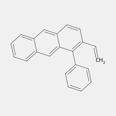 C=Cc1ccc2cc3ccccc3cc2c1-c1ccccc1